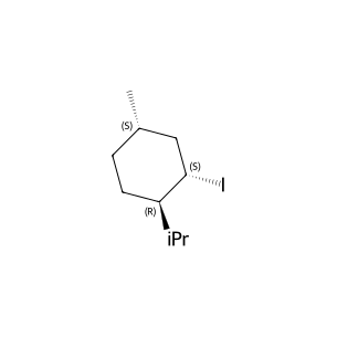 CC(C)[C@H]1CC[C@H](C)C[C@@H]1I